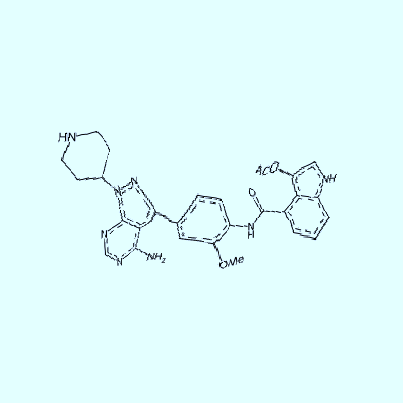 COc1cc(-c2nn(C3CCNCC3)c3ncnc(N)c23)ccc1NC(=O)c1cccc2[nH]cc(OC(C)=O)c12